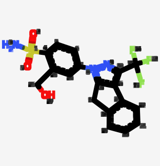 NS(=O)(=O)c1ccc(-n2nc(C(F)(F)F)c3c2Cc2ccccc2-3)cc1CO